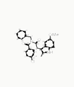 COc1ccc2[nH]c(C)c(CC(=O)N(Cc3ccccc3)C(=O)c3ccc(Cl)cc3)c2c1